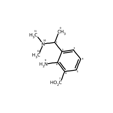 CC(c1cccc(C(=O)O)c1N)N(C)C